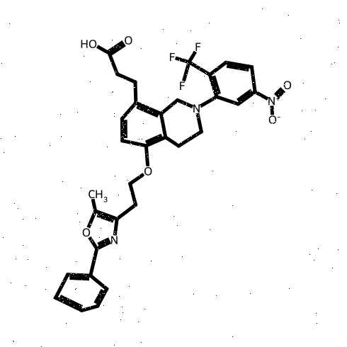 Cc1oc(-c2ccccc2)nc1CCOc1ccc(CCC(=O)O)c2c1CCN(c1cc([N+](=O)[O-])ccc1C(F)(F)F)C2